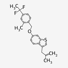 C=C(C)Cc1csc2cc(OCc3ccc(C(C)(F)F)cc3C)ccc12